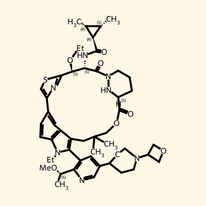 CCO[C@@H]1c2nc(cs2)-c2ccc3c(c2)c(c(-c2cc(C4CCN(C5COC5)CC4)cnc2[C@H](C)OC)n3CC)CC(C)(C)COC(=O)[C@@H]2CCCN(N2)C(=O)[C@H]1NC(=O)[C@H]1[C@H](C)[C@@H]1C